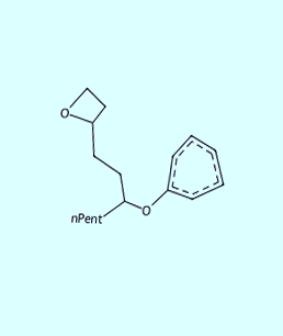 CCCCCC(CCC1CCO1)Oc1ccccc1